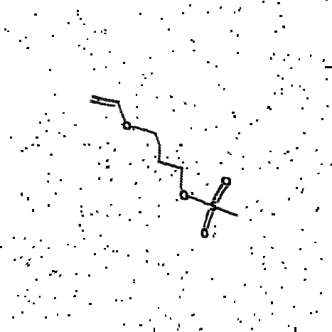 C=COCCCOS(C)(=O)=O